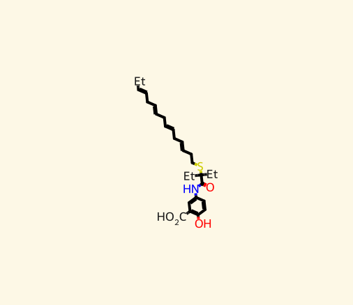 CCC=CCC=CCC=CCC=CCCSC(CC)(CC)C(=O)Nc1ccc(O)c(C(=O)O)c1